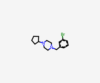 Brc1cccc(CN2CCN(C3CCCC3)CC2)c1